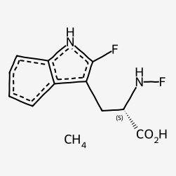 C.O=C(O)[C@H](Cc1c(F)[nH]c2ccccc12)NF